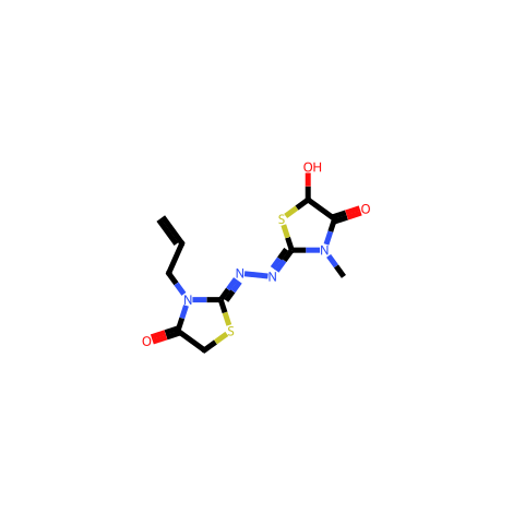 C=CCN1C(=O)CSC1=NN=C1SC(O)C(=O)N1C